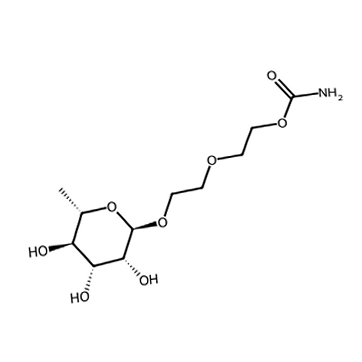 C[C@@H]1O[C@@H](OCCOCCOC(N)=O)[C@H](O)[C@H](O)[C@H]1O